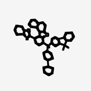 CC1(C)c2ccccc2-c2ccc(N(c3ccc(-c4ccccc4)cc3)c3ccc(-c4nc5ccccc5s4)c4c3oc3ccc5ccccc5c34)cc21